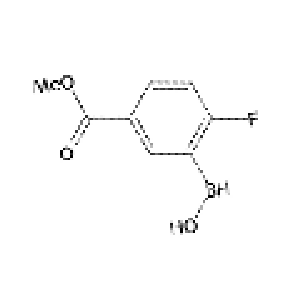 COC(=O)c1ccc(F)c(BO)c1